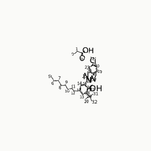 CCC(=O)O.CCCCCCCCc1cc(-n2nc3ccc(Cl)cc3n2)c(O)c(C(C)(C)C)c1